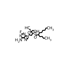 C#C[C@]1(CO)O[C@@H](n2cnc3c(N)nc(F)nc32)C[C@@H]1OC(=O)C(CCCC)CCCCCC